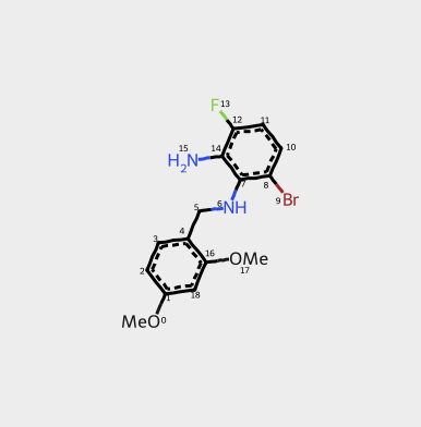 COc1ccc(CNc2c(Br)ccc(F)c2N)c(OC)c1